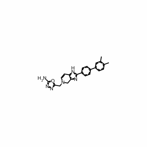 Cc1ccc(-c2ccc(-c3nc4c([nH]3)C=CN(Cc3nnc(N)o3)C4)cc2)cc1C